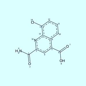 NC(=O)c1cc(C(=O)O)c2cccc(Cl)c2n1